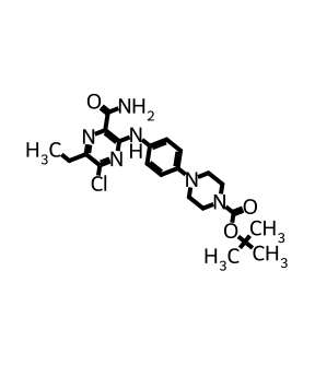 CCc1nc(C(N)=O)c(Nc2ccc(N3CCN(C(=O)OC(C)(C)C)CC3)cc2)nc1Cl